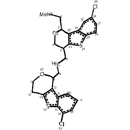 CNCC1OCC(CNCC2OCCc3sc4c(Cl)cccc4c32)c2sc3ccc(Cl)cc3c21